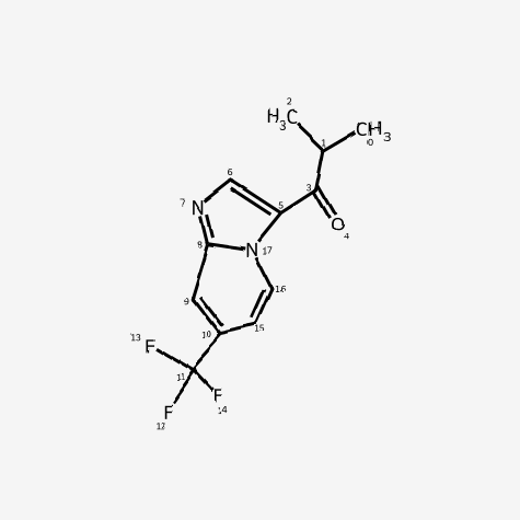 CC(C)C(=O)c1cnc2cc(C(F)(F)F)ccn12